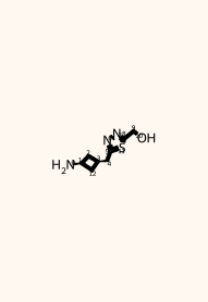 N[C@H]1C[C@@H](Cc2nnc(CO)s2)C1